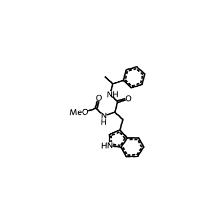 COC(=O)NC(Cc1c[nH]c2ccccc12)C(=O)NC(C)c1ccccc1